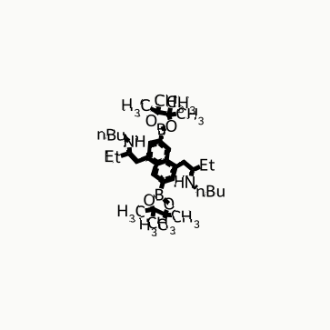 CCCCNC(CC)Cc1cc(B2OC(C)(C)C(C)(C)O2)cc2c(CC(CC)NCCCC)cc(B3OC(C)(C)C(C)(C)O3)cc12